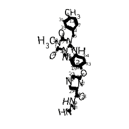 Cc1ccc(CN2C(=O)N(C)C(=O)N(N)C2Nc2ccc(Oc3cncc(C(=O)NN=N)n3)cc2)cc1